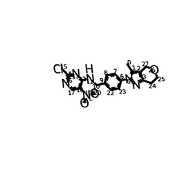 Cc1c2c(nn1-c1ccc(CNc3nc(Cl)ncc3[N+](=O)[O-])cc1)CCOC2